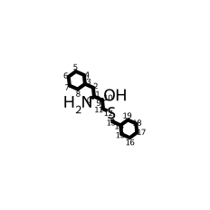 NC(CC1CCCCC1)C(O)CSCC1CCCCC1